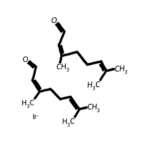 CC(C)=CCC/C(C)=C\C=O.CC(C)=CCC/C(C)=C\C=O.[Ir]